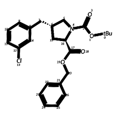 CC(C)(C)OC(=O)N1C[C@@H](Cc2cccc(Cl)c2)C[C@@H]1C(=O)OCc1ccccc1